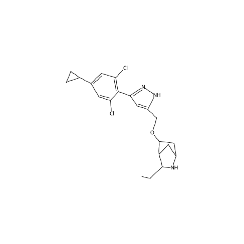 CCC1NC2CC(OCc3cc(-c4c(Cl)cc(C5CC5)cc4Cl)n[nH]3)C1C2